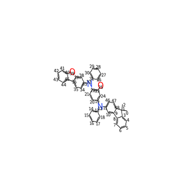 CC1(C)c2ccccc2-c2cc(N(c3ccccc3)c3ccc4c(c3)Oc3ccccc3N4c3ccc4c(c3)oc3ccccc34)ccc21